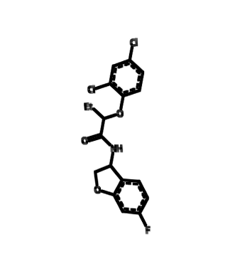 CCC(Oc1ccc(Cl)cc1Cl)C(=O)NC1COc2cc(F)ccc21